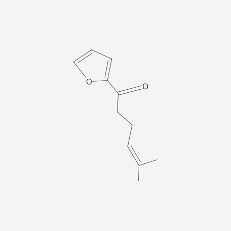 CC(C)=C[CH]CC(=O)c1ccco1